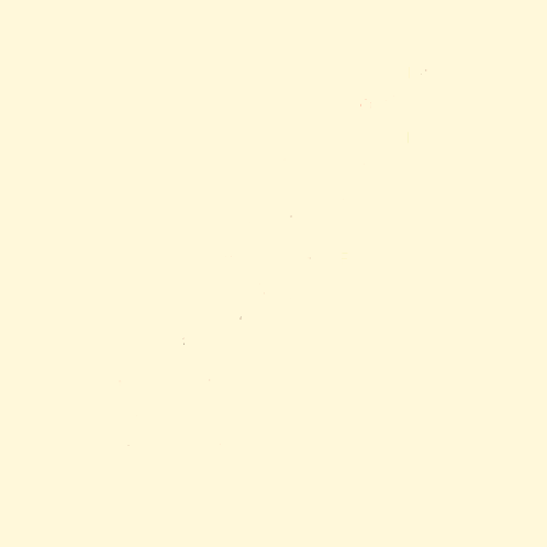 Fc1cc(CCc2ccc3ccccc3c2)ccc1-c1ccc(OC(F)F)cc1